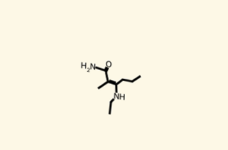 CCCC(NCC)=C(C)C(N)=O